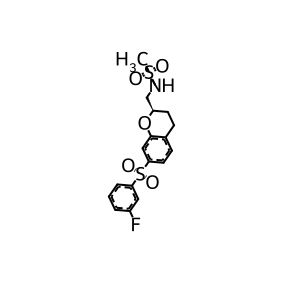 CS(=O)(=O)NC[C@H]1CCc2ccc(S(=O)(=O)c3cccc(F)c3)cc2O1